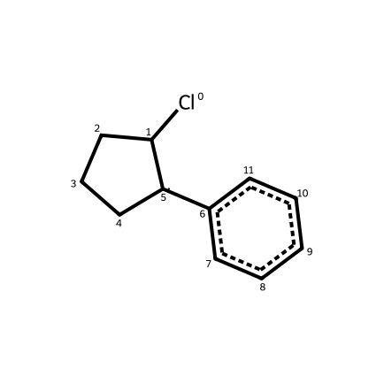 ClC1CCC[C]1c1ccccc1